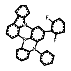 Fc1cccc(F)c1-c1cc2c3c(c1)-n1c4ccccc4c4cccc(c41)B3c1ccccc1N2c1ccccc1